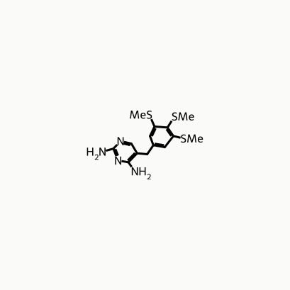 CSc1cc(Cc2cnc(N)nc2N)cc(SC)c1SC